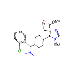 CCCCN1C=NC(CC(C)C)(C(=O)OC)C1C1CCC(C(c2ccccc2Cl)N(C)C)CC1